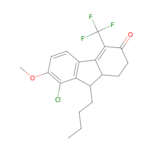 CCCCC1c2c(ccc(OC)c2Cl)C2=C(C(F)(F)F)C(=O)CCC21